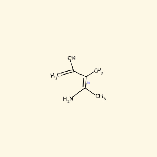 C=C(C#N)/C(C)=C(/C)N